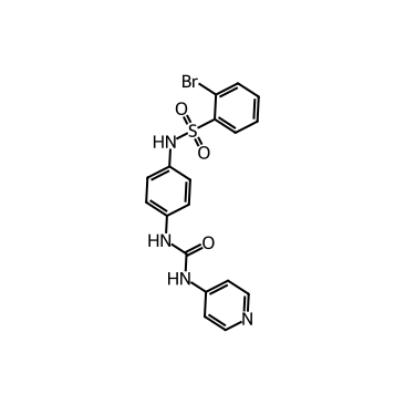 O=C(Nc1ccncc1)Nc1ccc(NS(=O)(=O)c2ccccc2Br)cc1